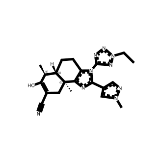 CCn1nnc(-n2c(-c3cnn(C)c3)nc3c2CC[C@H]2[C@H](C)C(O)=C(C#N)C[C@]32C)n1